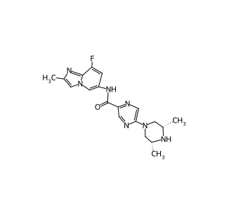 Cc1cn2cc(NC(=O)c3cnc(N4C[C@@H](C)N[C@@H](C)C4)cn3)cc(F)c2n1